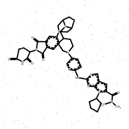 CN(C)C(=O)c1cc2cnc(Nc3ccc(N4CCC(CN5C6CCC5CN(c5ccc7c(c5)C(=O)N(C5CCC(=O)NC5=O)C7=O)C6)CC4)cn3)nc2n1C1CCCC1